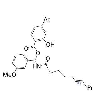 COc1cccc(C(NC(=O)CCCC/C=C/C(C)C)OC(=O)c2ccc(C(C)=O)cc2O)c1